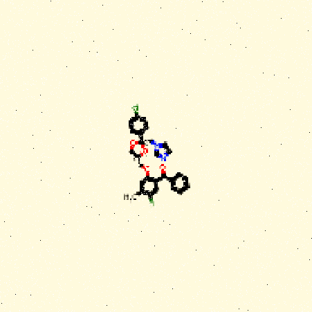 Cc1cc(OC[C@@H]2CO[C@@](Cn3ccnc3)(c3ccc(Cl)cc3)O2)c(C(=O)c2ccccc2)cc1Cl